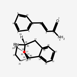 NC(=O)C=Cc1ccccc1.c1ccc2c(c1)C[C@H]1NCC[C@@]23CCCC[C@@H]13